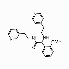 COc1ccccc1C(NCCc1ccncc1)C(=O)NCCc1cccnc1